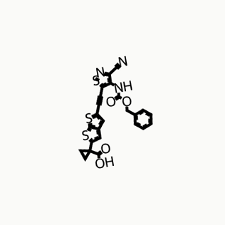 N#Cc1nsc(C#Cc2cc3cc(C4(C(=O)O)CC4)sc3s2)c1NC(=O)OCc1ccccc1